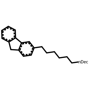 CCCCCCCCCCCCCCCCc1ccc2c(c1)-c1ccccc1C2